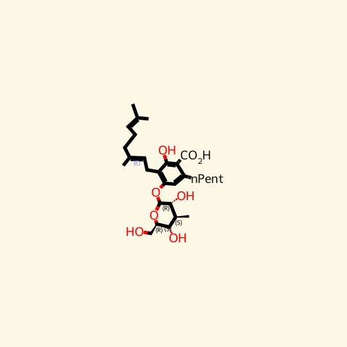 CCCCCc1cc(OC2O[C@H](CO)[C@@H](O)[C@H](C)[C@H]2O)c(C/C=C(\C)CCC=C(C)C)c(O)c1C(=O)O